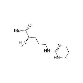 CC(C)(C)C(=O)[C@H](N)CCCNC1=NCCCN1